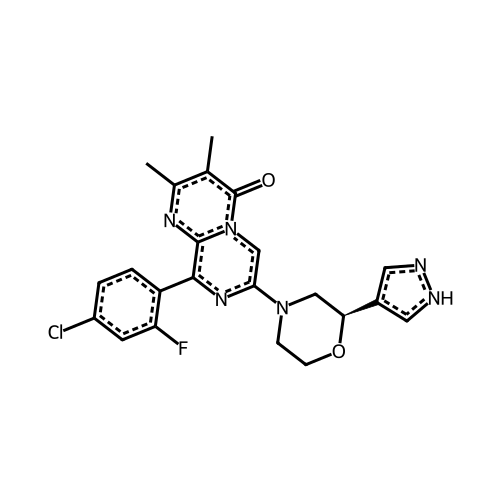 Cc1nc2c(-c3ccc(Cl)cc3F)nc(N3CCO[C@H](c4cn[nH]c4)C3)cn2c(=O)c1C